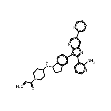 C=CC(=O)N1CCC(N[C@H]2CCc3cc(-n4c(-c5cccnc5N)nc5cc(-c6ccccn6)cnc54)ccc32)CC1